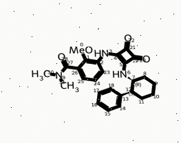 COc1c(Nc2c(N[C@@H]3CCCC[C@H]3c3ccccc3)c(=O)c2=O)cccc1C(=O)N(C)C